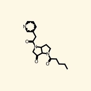 CCCCC(=O)N1CCC2C1C(=O)CN2C(=O)Cc1cccnc1